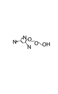 N#Cc1cnc(OCCOCCO)c(C#N)c1